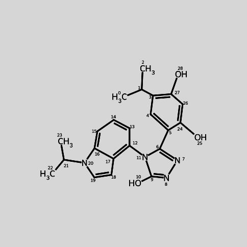 CC(C)c1cc(-c2nnc(O)n2-c2cccc3c2ccn3C(C)C)c(O)cc1O